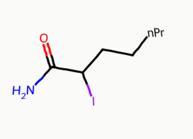 CCCCCC(I)C(N)=O